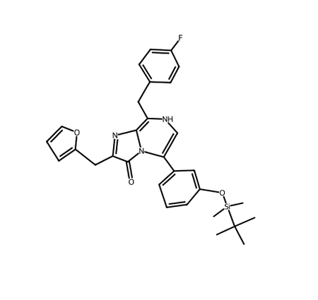 CC(C)(C)[Si](C)(C)Oc1cccc(-c2c[nH]c(Cc3ccc(F)cc3)c3nc(Cc4ccco4)c(=O)n2-3)c1